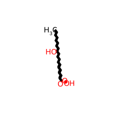 CCCCCCCCC(O)CCCCC=CC=CC=CC(=O)OO